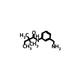 CCC(C)(C)C(=O)Nc1cccc(CN)c1